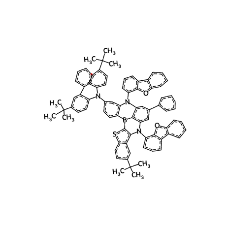 CC(C)(C)c1ccc(N(c2ccc3c(c2)N(c2cccc4c2oc2ccccc24)c2cc(-c4ccccc4)cc4c2B3c2sc3ccc(C(C)(C)C)cc3c2N4c2cccc3c2oc2ccccc23)c2ccc(C(C)(C)C)cc2-c2ccccc2)cc1